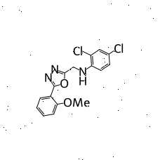 COc1ccccc1-c1nnc(CNc2ccc(Cl)cc2Cl)o1